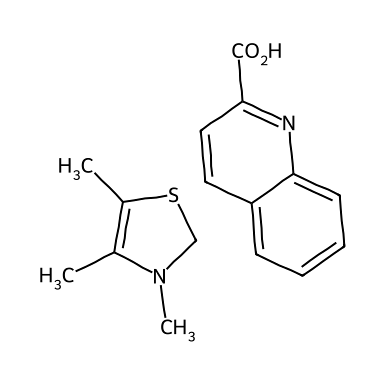 CC1=C(C)N(C)CS1.O=C(O)c1ccc2ccccc2n1